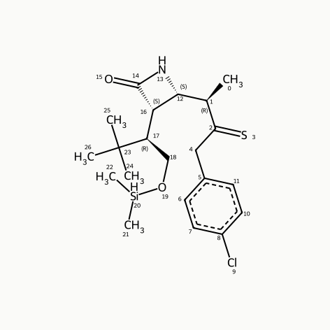 C[C@@H](C(=S)Cc1ccc(Cl)cc1)[C@H]1NC(=O)[C@H]1[C@@H](CO[SiH](C)C)C(C)(C)C